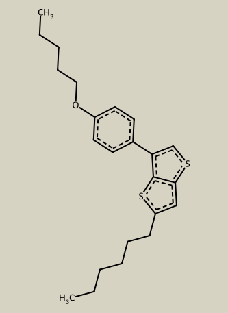 CCCCCCc1cc2scc(-c3ccc(OCCCCC)cc3)c2s1